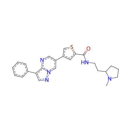 CN1CCCC1CCNC(=O)c1cc(-c2cnc3c(-c4ccccc4)cnn3c2)cs1